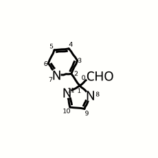 O=CC1(c2ccccn2)N=CC=N1